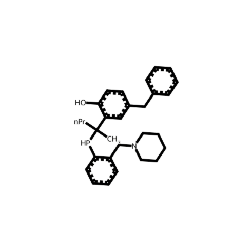 CCCC(C)(Pc1ccccc1CN1CCCCC1)c1cc(Cc2ccccc2)ccc1O